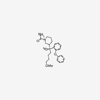 COCCCC[C@@](O)(c1ccccc1Oc1ccccc1)C1CCCN(C(N)=O)C1